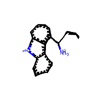 C=CC(N)c1cccc2[nH]c3ccccc3c12